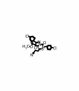 COC(=O)C1(C)CN(C(=O)N(SCCCC#N)c2ccc(Cl)cc2)N=C1c1ccc(Cl)cc1